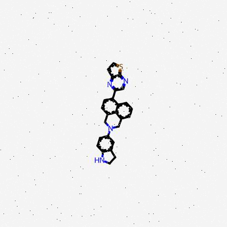 c1cc2c3c(ccc(-c4cnc5sccc5n4)c3c1)CN(c1ccc3c(c1)CCN3)C2